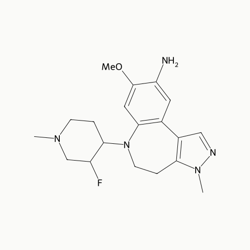 COc1cc2c(cc1N)-c1cnn(C)c1CCN2C1CCN(C)CC1F